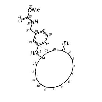 CCC1CCCCCCCCCCCCC(Nc2cccc(CNC(=O)OC)c2)CC1